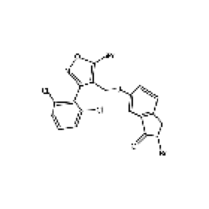 CC(C)c1onc(-c2c(Cl)cccc2Cl)c1COc1ccc2c(c1)C(=O)C(Br)C2